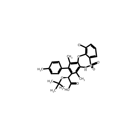 Cc1ccc(-c2c(C)c3c(c(C)c2[C@H](OC(C)(C)C)C(=O)O)NS(=O)(=O)c2cccc(Cl)c2O3)cc1